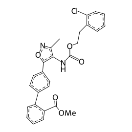 COC(=O)c1ccccc1-c1ccc(-c2onc(C)c2NC(=O)OCCc2ccccc2Cl)cc1